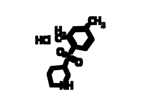 Cc1ccc(S(=O)(=O)C2CCCNC2)c(C)c1.Cl